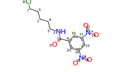 O=C(NCCCCCCl)c1cc([N+](=O)[O-])cc([N+](=O)[O-])c1